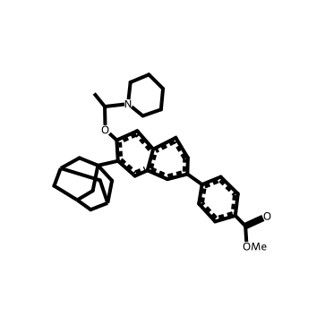 COC(=O)c1ccc(-c2ccc3cc(OC(C)N4CCCCC4)c(C45CC6CC(CC(C6)C4)C5)cc3c2)cc1